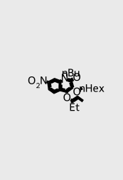 CC=C(CC)Oc1c(OCCCCCC)c(=O)n(CCCC)c2cc([N+](=O)[O-])ccc12